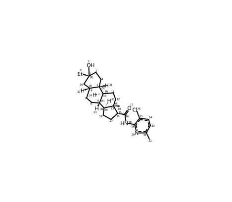 CC[C@@]1(O)CC[C@H]2[C@H](CC[C@@H]3[C@@H]2CC[C@]2(C)[C@@H](C(=O)Nc4nc(C)ccc4Cl)CC[C@@H]32)C1